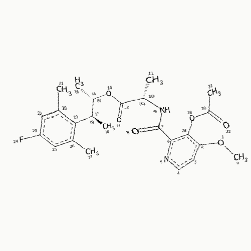 COc1ccnc(C(=O)N[C@@H](C)C(=O)O[C@@H](C)[C@@H](C)c2c(C)cc(F)cc2C)c1OC(C)=O